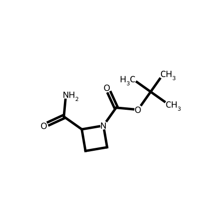 CC(C)(C)OC(=O)N1CCC1C(N)=O